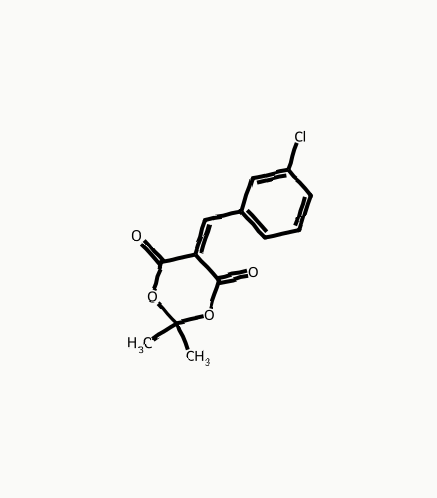 CC1(C)OC(=O)C(=Cc2cccc(Cl)c2)C(=O)O1